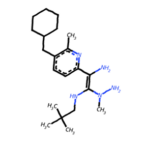 Cc1nc(/C(N)=C(\NCC(C)(C)C)N(C)N)ccc1CC1CCCCC1